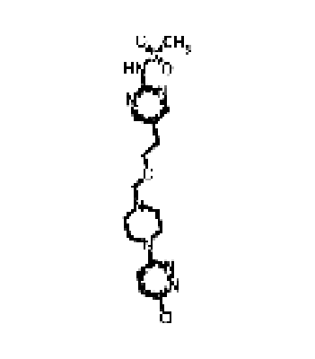 CS(=O)(=O)Nc1ncc(CCOCN2CCN(c3ccc(Cl)nn3)CC2)cn1